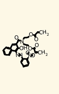 C=CC(=O)OCCN(CCOC(=O)C=C)C(=O)c1cc2ccccc2c(N=Nc2ccccc2[N+](=O)[O-])c1O